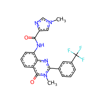 Cn1cnc(C(=O)Nc2cccc3c(=O)n(C)c(-c4cccc(C(F)(F)F)c4)nc23)c1